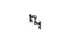 N#Cc1ccc2c3ccccc3n(-c3ccc4oc5ccc(-c6ccc7oc8ccc(-n9c%10ccccc%10c%10ccc(C#N)cc%109)cc8c7c6)cc5c4c3)c2c1